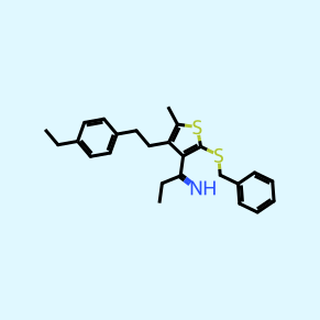 CCC(=N)c1c(SCc2ccccc2)sc(C)c1CCc1ccc(CC)cc1